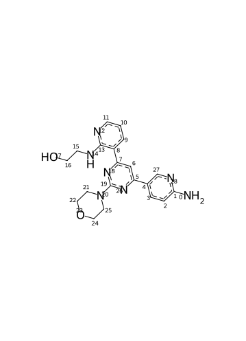 Nc1ccc(-c2cc(-c3cccnc3NCCO)nc(N3CCOCC3)n2)cn1